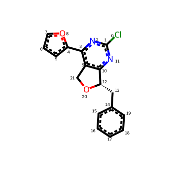 Clc1nc(-c2ccco2)c2c(n1)[C@H](Cc1ccccc1)OC2